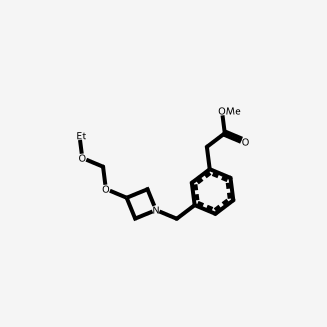 CCOCOC1CN(Cc2cccc(CC(=O)OC)c2)C1